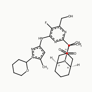 CCS(=O)(=O)N1[C@@H]2CCC[C@H]1C[C@H](N(C)c1nc(CO)c(F)c(Nc3cc(C)n(C4CCCCO4)n3)n1)C2